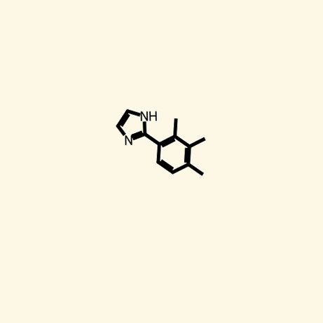 Cc1ccc(-c2ncc[nH]2)c(C)c1C